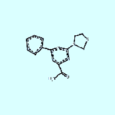 NC(=O)c1cc(-c2ccccc2)nc(N2CCSC2)n1